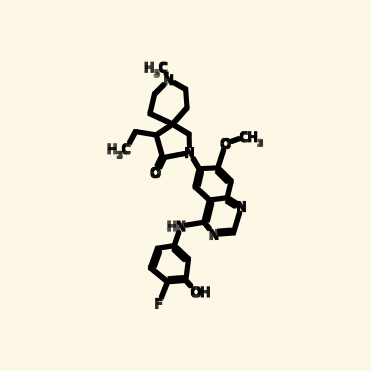 CCC1C(=O)N(c2cc3c(Nc4ccc(F)c(O)c4)ncnc3cc2OC)CC12CCN(C)CC2